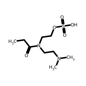 CCC(=O)N(CCOS(=O)(=O)O)CCN(C)C